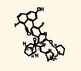 C#Cc1c(F)ccc2cc(O)cc(-c3ccc4c(N5C[C@H]6CC[C@@H](C5)N6C(=O)/C(F)=C/c5nccs5)nc(OC[C@@H]5CCCN5C)nc4c3F)c12